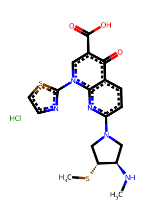 CN[C@@H]1CN(c2ccc3c(=O)c(C(=O)O)cn(-c4nccs4)c3n2)C[C@H]1SC.Cl